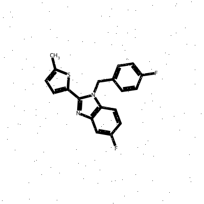 Cc1ccc(-c2nc3cc(F)ccc3n2Cc2ccc(F)cc2)s1